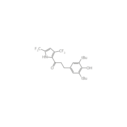 CC(C)(C)c1cc(CCC(=O)c2[nH]c(C(F)(F)F)cc2C(F)(F)F)cc(C(C)(C)C)c1O